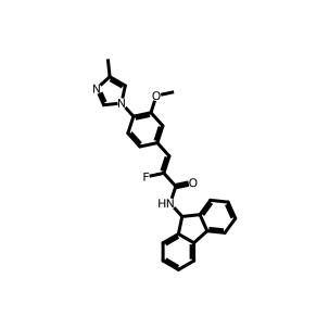 COc1cc(C=C(F)C(=O)NC2c3ccccc3-c3ccccc32)ccc1-n1cnc(C)c1